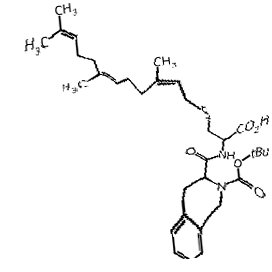 CC(C)=CCCC(C)=CCCC(C)=CCSCC(NC(=O)C1Cc2ccccc2CN1C(=O)OC(C)(C)C)C(=O)O